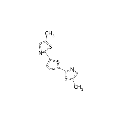 Cc1cnc(-c2ccc(-c3ncc(C)s3)s2)s1